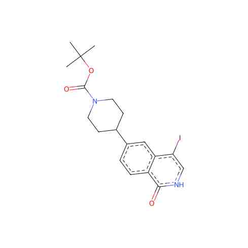 CC(C)(C)OC(=O)N1CCC(c2ccc3c(=O)[nH]cc(I)c3c2)CC1